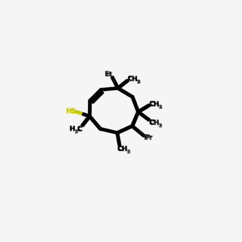 CCC1(C)/C=C\C(C)(S)CC(C)C(C(C)C)C(C)(C)C1